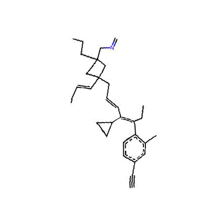 C#Cc1ccc(/C(CC)=C(/C=C/CC2(/C=C/C)CC(CCC)(CN=C)C2)C2CC2)c(C)c1